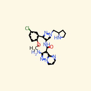 COc1ccc(Cl)cc1-c1nn(CC2CCCN2)cc1NC(=O)c1c(N)nn2cccnc12